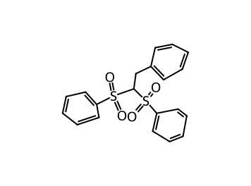 O=S(=O)(c1ccccc1)C(Cc1ccccc1)S(=O)(=O)c1ccccc1